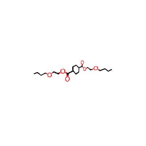 CCCCOCCOC(=O)C1CCC(C(=O)OCCOCCCC)CC1